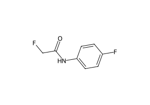 O=C(CF)Nc1ccc(F)cc1